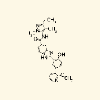 CCc1nn(C)c(NC(=O)c2ccc3[nH]c(-c4cc(-c5cccnc5OC)ccc4O)nc3c2)c1C